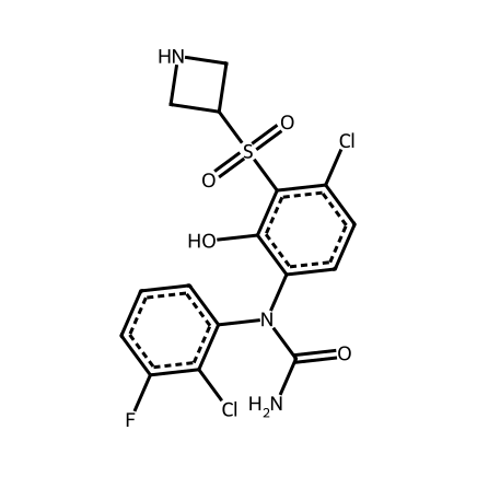 NC(=O)N(c1ccc(Cl)c(S(=O)(=O)C2CNC2)c1O)c1cccc(F)c1Cl